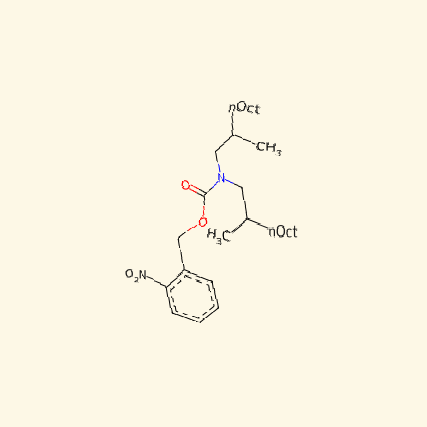 CCCCCCCCC(C)CN(CC(C)CCCCCCCC)C(=O)OCc1ccccc1[N+](=O)[O-]